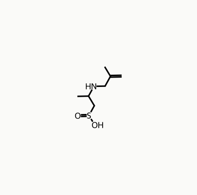 C=C(C)CNC(C)CS(=O)O